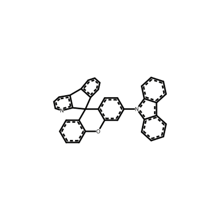 c1ccc2c(c1)Oc1cc(-n3c4ccccc4c4ccccc43)ccc1C21c2ccccc2-c2cccnc21